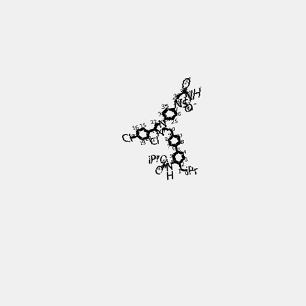 CC(C)Cc1ccc(-c2ccc(Cc3nc(-c4ccc(Cl)cc4Cl)cn3-c3ccc(N4CC(=O)N[S+]4[O-])cc3)cc2)cc1NC(=O)OC(C)C